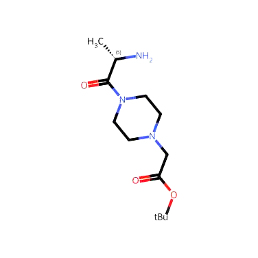 C[C@H](N)C(=O)N1CCN(CC(=O)OC(C)(C)C)CC1